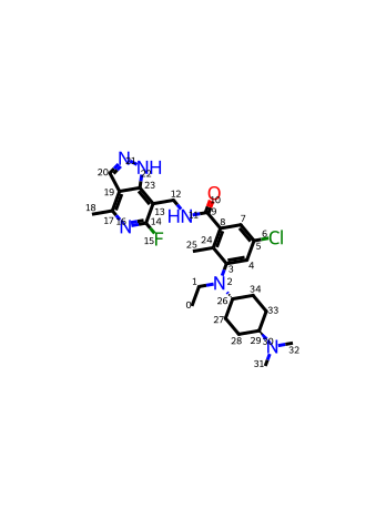 CCN(c1cc(Cl)cc(C(=O)NCc2c(F)nc(C)c3cn[nH]c23)c1C)[C@H]1CC[C@H](N(C)C)CC1